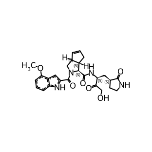 COc1cccc2[nH]c(C(=O)N3C[C@@H]4C=CC[C@@H]4[C@H]3C(=O)N[C@@H](C[C@@H]3CCNC3=O)C(=O)CO)cc12